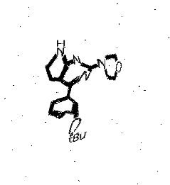 CC(C)(C)Oc1cccc(-c2nc(N3CCOCC3)nc3c2CCN3)c1